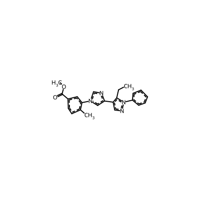 CCc1c(-c2cn(-c3cc(C(=O)OC)ccc3C)cn2)cnn1-c1ccccc1